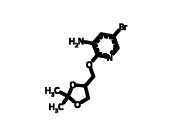 CC1(C)OCC(COc2ncc(Br)cc2N)O1